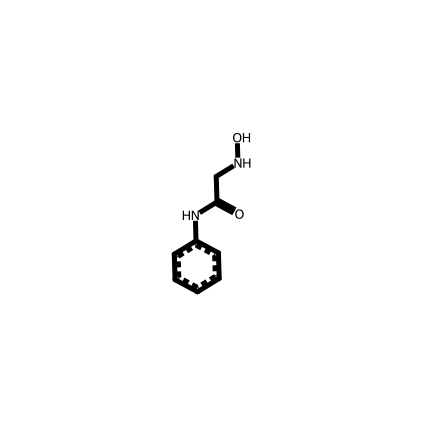 O=C(CNO)Nc1ccccc1